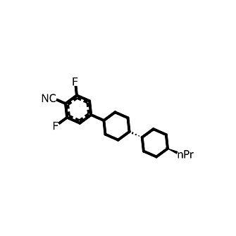 CCC[C@H]1CC[C@H](C2CCC(c3cc(F)c(C#N)c(F)c3)CC2)CC1